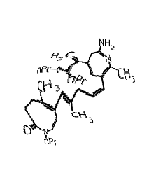 C=C(C1=CC(/C=C\C/C(C)=C/C2=C(C)CCC(=O)N(CCC)/C=C\2)=C(C)N=C(N)C1)N(CCC)CCC